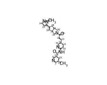 Cc1cncc(C(=O)Nc2ccc(/C=C/C(=O)N3CC4C=C(c5ccnn5C)CC4C3)cn2)c1